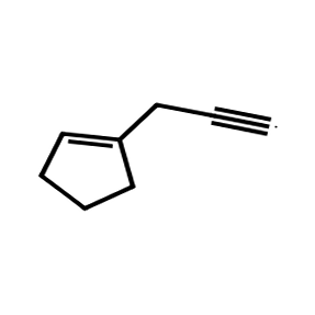 [C]#CCC1=CCCC1